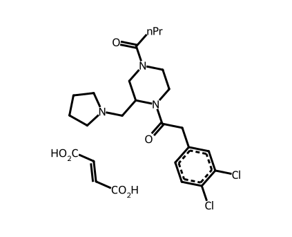 CCCC(=O)N1CCN(C(=O)Cc2ccc(Cl)c(Cl)c2)C(CN2CCCC2)C1.O=C(O)C=CC(=O)O